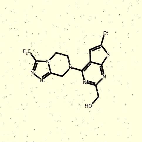 CCc1cc2c(N3CCn4c(nnc4C(F)(F)F)C3)nc(CO)nc2s1